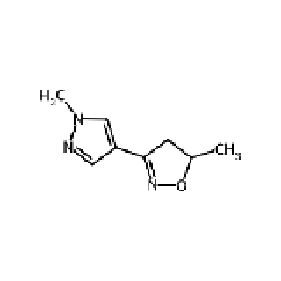 CC1CC(c2cnn(C)c2)=NO1